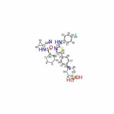 N#CC1(NC(=O)[C@@H]2CCCC[C@H]2c2nc(Nc3ccc(F)cc3)sc2-c2ccc(N3CCS(O)(O)CC3)cc2)CC1